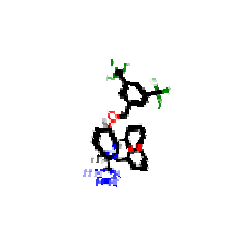 FC(F)(F)c1cc(CO[C@@H]2CC[C@H]3[C@H](c4nnn[nH]4)C[C@]2(c2ccccc2)N3Cc2ccccc2)cc(C(F)(F)F)c1